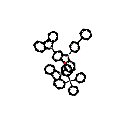 c1ccc(-c2ccc(-n3c4cc(-n5c6ccccc6c6ccccc65)ccc4c4c(-n5c6ccccc6c6cccc([Si](c7ccccc7)(c7ccccc7)c7ccccc7)c65)cccc43)cc2)cc1